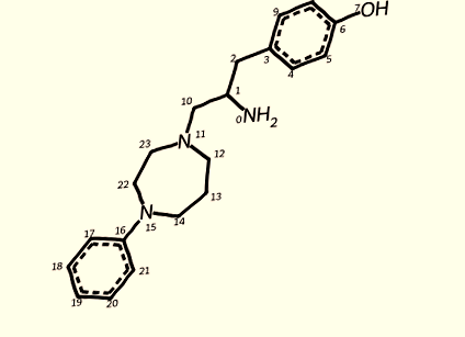 NC(Cc1ccc(O)cc1)CN1CCCN(c2ccccc2)CC1